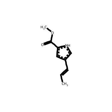 C/C=C/c1c[nH]c(C(=O)OC)c1